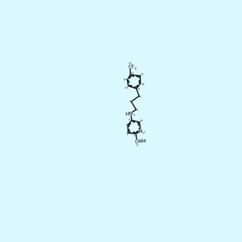 COc1ccc(NCCCc2ccc(C(F)(F)F)cc2)cn1